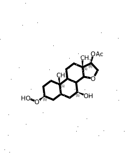 CC(=O)O[C@H]1COC2C3C(CC[C@@]21C)[C@@]1(C)CC[C@H](OO)CC1C[C@@H]3O